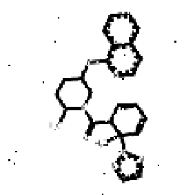 CC1CCC(Oc2nccc3ccccc23)CN1C(=O)C1C=CC=CC1(C)n1nccn1